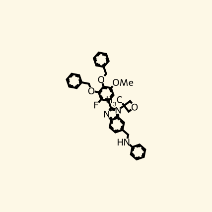 COc1cc(-c2nc3ccc(CNc4ccccc4)cc3n2C2(C)COC2)c(F)c(OCc2ccccc2)c1OCc1ccccc1